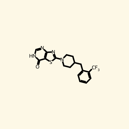 O=c1[nH]cnc2nc(N3CCC(Cc4ccccc4C(F)(F)F)CC3)sc12